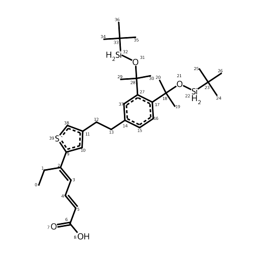 CCC(=CC=CC(=O)O)c1cc(CCc2ccc(C(C)(C)O[SiH2]C(C)(C)C)c(C(C)(C)O[SiH2]C(C)(C)C)c2)cs1